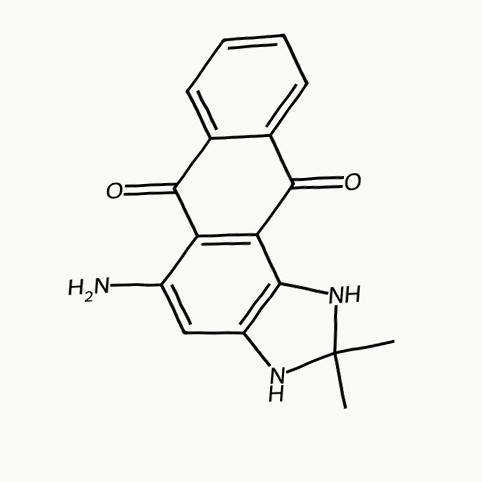 CC1(C)Nc2cc(N)c3c(c2N1)C(=O)c1ccccc1C3=O